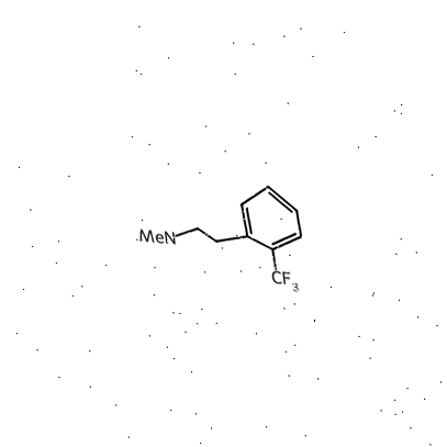 CNCCc1ccccc1C(F)(F)F